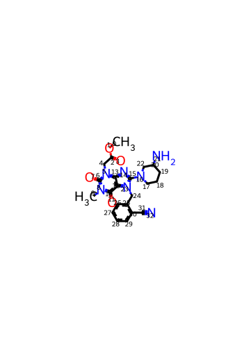 COC(=O)Cn1c(=O)n(C)c(=O)c2c1nc(N1CCCC(N)C1)n2Cc1ccccc1C#N